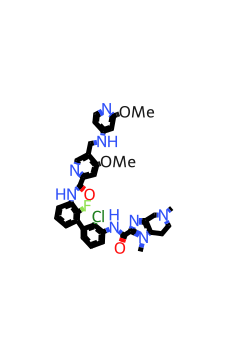 COc1cc(NCc2cnc(C(=O)Nc3cccc(-c4cccc(NC(=O)c5nc6c(n5C)CCN(C)C6)c4Cl)c3F)cc2OC)ccn1